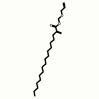 C=CCOCOC(=O)C(=C)CCCCCCCCCCCCCCCC